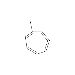 CC1=CC=CC=C=C1